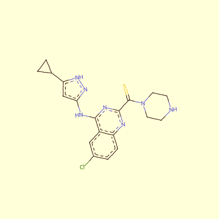 S=C(c1nc(Nc2cc(C3CC3)[nH]n2)c2cc(Cl)ccc2n1)N1CCNCC1